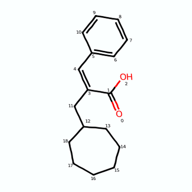 O=C(O)C(=Cc1ccccc1)CC1CCCCCC1